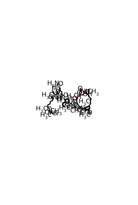 COc1cc2cc(c1Cl)N(C)C(=O)C[C@H](OC(=O)[C@H](C)N(C)C(=O)c1ccc(NC(=O)[C@H](CCCNC(N)=O)NC(=O)[C@@H](NC(=O)CCCCC(C)OC(=O)C(C)(C)CBr)C(C)C)c3cccnc13)C(C)[C@@H](O)[C@H](C)[C@@H]1C[C@@](O)(NC(=O)O1)[C@H](OC)/C=C/C=C(\C)C2